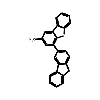 Cc1cc(-c2ccc3c(c2)-c2ccccc2C3)c2oc3ccccc3c2c1